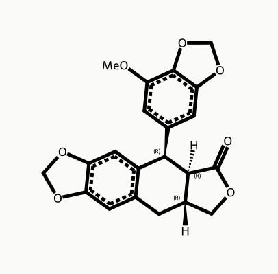 COc1cc([C@@H]2c3cc4c(cc3C[C@H]3COC(=O)[C@@H]32)OCO4)cc2c1OCO2